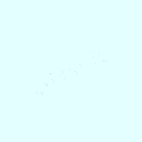 Cc1c(Cl)cc(C(=O)NCc2cc3nc(-c4cc(F)cc(N5CCNC6(CC6)C5)n4)ccc3cn2)cc1S(C)(=O)=O